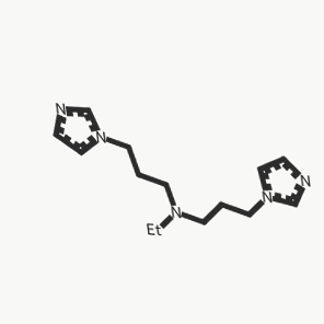 CCN(CCCn1ccnc1)CCCn1ccnc1